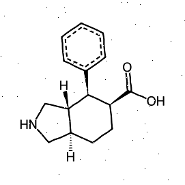 O=C(O)[C@H]1CC[C@H]2CNC[C@@H]2[C@H]1c1ccccc1